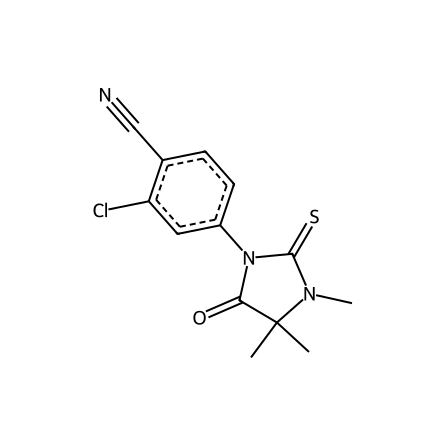 CN1C(=S)N(c2ccc(C#N)c(Cl)c2)C(=O)C1(C)C